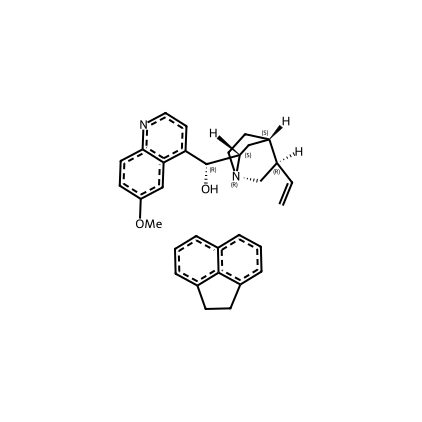 C=C[C@H]1C[N@]2CC[C@H]1C[C@H]2[C@H](O)c1ccnc2ccc(OC)cc12.c1cc2c3c(cccc3c1)CC2